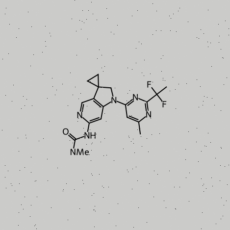 CNC(=O)Nc1cc2c(cn1)C1(CC1)CN2c1cc(C)nc(C(C)(F)F)n1